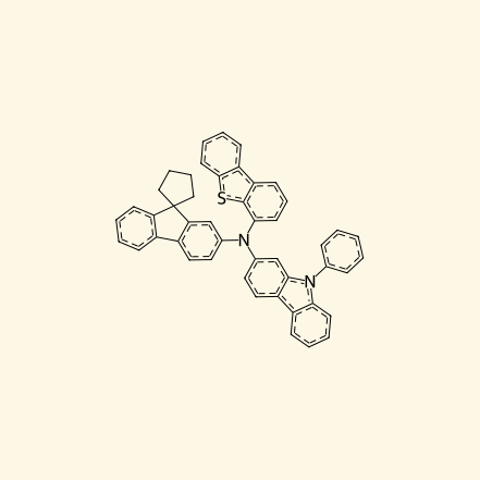 c1ccc(-n2c3ccccc3c3ccc(N(c4ccc5c(c4)C4(CCCC4)c4ccccc4-5)c4cccc5c4sc4ccccc45)cc32)cc1